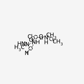 Cc1ccc(C(C)NCc2ccc(-c3ccc(Cl)c(C(=O)N[C@@H](CCN4CCNC(C)C4)Cc4ccc(C#N)cc4)c3)o2)cc1